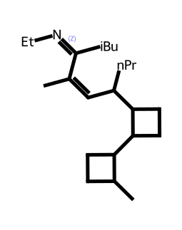 CCCC(C=C(C)/C(=N\CC)C(C)CC)C1CCC1C1CCC1C